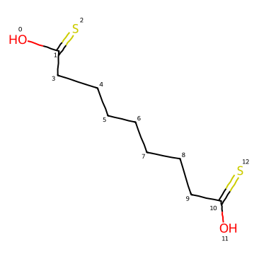 OC(=S)CCCCCCCC(O)=S